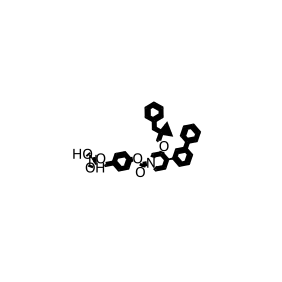 O=C(Oc1ccc(CON(O)O)cc1)N1CC[C@H](c2cccc(-c3ccccc3)c2)C(OCC2(Cc3ccccc3)CC2)C1